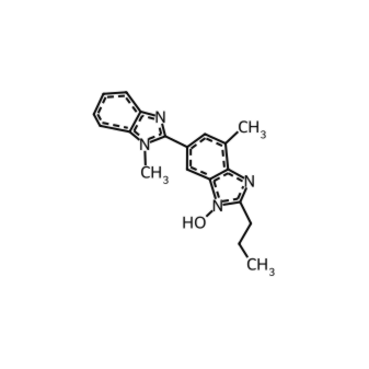 CCCc1nc2c(C)cc(-c3nc4ccccc4n3C)cc2n1O